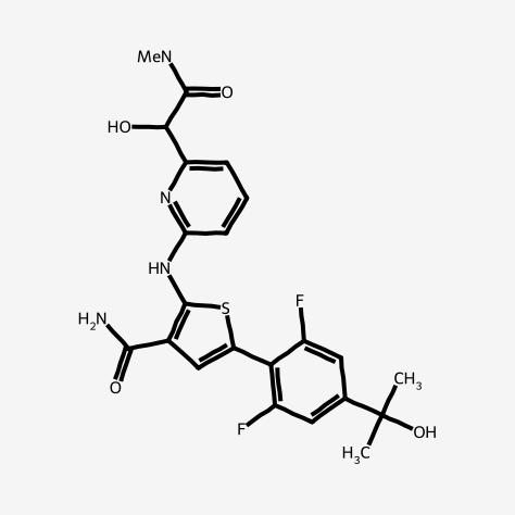 CNC(=O)C(O)c1cccc(Nc2sc(-c3c(F)cc(C(C)(C)O)cc3F)cc2C(N)=O)n1